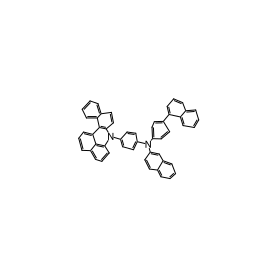 c1ccc2cc(N(c3ccc(-c4cccc5ccccc45)cc3)c3ccc(N4c5ccc6ccccc6c5-c5cccc6cccc4c56)cc3)ccc2c1